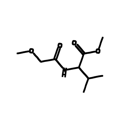 COCC(=O)NC(C(=O)OC)C(C)C